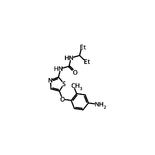 CCC(CC)NC(=O)Nc1ncc(Oc2ccc(N)cc2C)s1